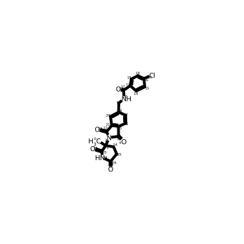 CC1(N2C(=O)c3ccc(CNC(=O)c4ccc(Cl)cc4)cc3C2=O)CCC(=O)NC1=O